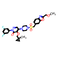 COCc1nc2ccc(CS(=O)(=O)N3CCN(c4cnn(-c5cc(F)cc(F)c5)c(=O)c4OCC4(C)CC4)CC3)cc2o1